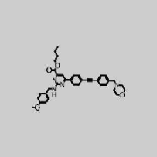 CCCCOC(=O)c1cc(-c2ccc(C#Cc3ccc(CN4CCOCC4)cc3)cc2)nc(NCc2ccc(OC)cc2)n1